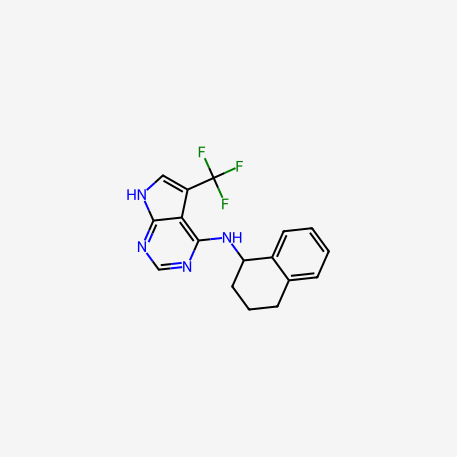 FC(F)(F)c1c[nH]c2ncnc(NC3CCCc4ccccc43)c12